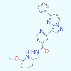 CCOC(=O)NC(CC)CNC(=O)c1ccnc(-c2cnn3ccc(-c4cccs4)nc23)c1